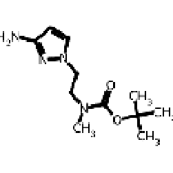 CN(CCn1ccc(N)n1)C(=O)OC(C)(C)C